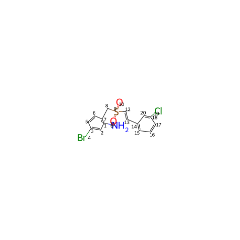 Nc1cc(Br)ccc1CS(=O)(=O)C=Cc1cccc(Cl)c1